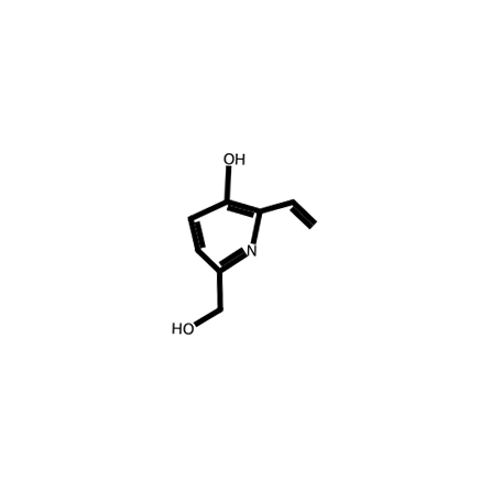 C=Cc1nc(CO)ccc1O